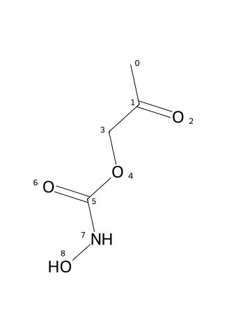 CC(=O)COC(=O)NO